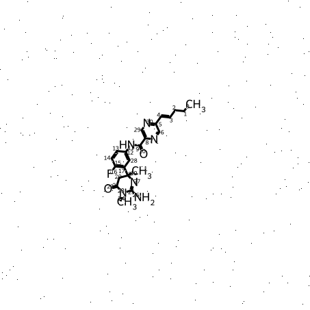 CCC/C=C/c1cnc(C(=O)Nc2ccc(F)c(C3(C)CC(=O)N(C)C(N)=N3)c2)cn1